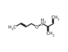 C=CC(=C)[SiH2]OCC=CC